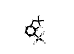 CC1(C)Cc2cccc(S(=O)(=O)Cl)c2O1